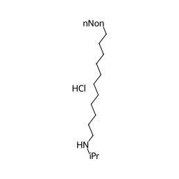 CCCCCCCCCCCCCCCCCCCCNC(C)C.Cl